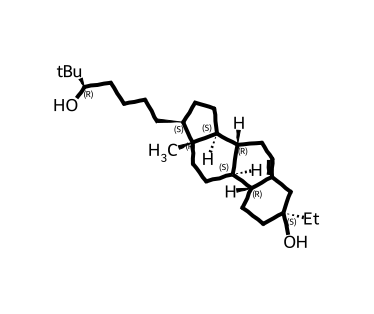 CC[C@]1(O)CC[C@H]2C(=CC[C@@H]3[C@@H]2CC[C@]2(C)[C@@H](CCCC[C@@H](O)C(C)(C)C)CC[C@@H]32)C1